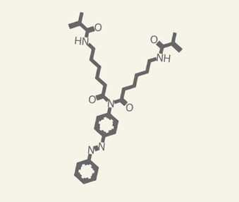 C=C(C)C(=O)NCCCCCC(=O)N(C(=O)CCCCCNC(=O)C(=C)C)c1ccc(N=Nc2ccccc2)cc1